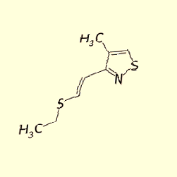 CCSC=Cc1nscc1C